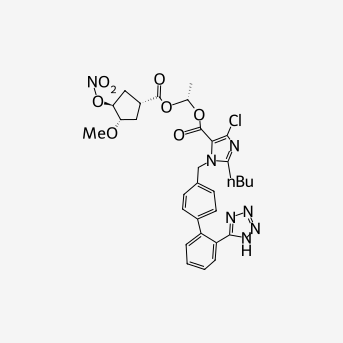 CCCCc1nc(Cl)c(C(=O)O[C@@H](C)OC(=O)[C@@H]2C[C@H](OC)[C@@H](O[N+](=O)[O-])C2)n1Cc1ccc(-c2ccccc2-c2nnn[nH]2)cc1